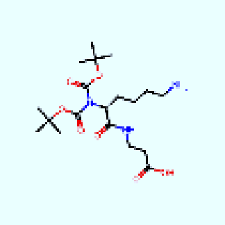 CC(C)(C)OC(=O)N(C(=O)OC(C)(C)C)[C@@H](CCCCN)C(=O)NCCC(=O)O